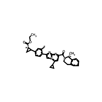 CCOC(=O)[C@@H]1CC1c1ccc(-c2cn3c(C4CC4)cc(C(=O)N4CCc5ccccc5[C@H]4C)nc3n2)c(F)c1